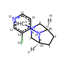 O=CN1C[C@H]2CC[C@@H](C1)N2c1ccncc1F